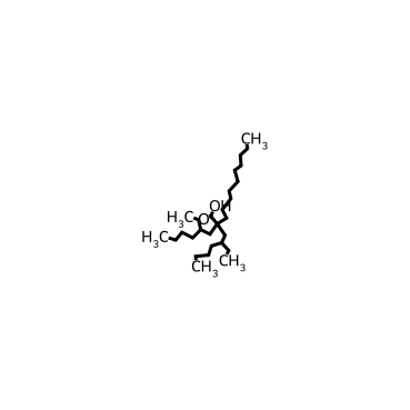 CCCCCCCCCCC(CC(CC)CCCC)(CC(CC)CCCC)C(=O)O